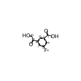 O=C(O)c1cc(F)cc(C(=O)CO)c1